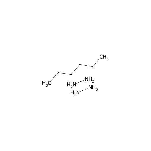 CCCCCC.NN.NN